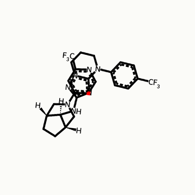 FC(F)(F)c1ccc(N2CCCn3nc(N[C@@H]4[C@@H]5CC[C@H]4CN(c4ccnc(C(F)(F)F)c4)C5)nc32)cc1